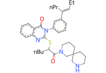 CC/C=C(\CCC)c1cccc(-n2c(SC(CCCC)C(=O)N3CCCC4(CCCNC4)C3)nc3ccccc3c2=O)c1